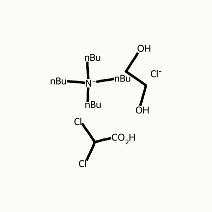 CCCC[N+](CCCC)(CCCC)CCCC.O=C(O)C(Cl)Cl.OCCO.[Cl-]